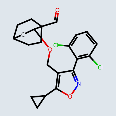 O=CC12CCC(CC1)CC2OCc1c(-c2c(Cl)cccc2Cl)noc1C1CC1